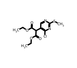 CCOC(=O)C(C(=O)OCC)c1cnc(SC)nc1Cl